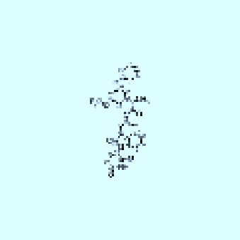 CN(C(=O)Oc1cc2c3c(cccc3c1)N(C1CCC(=O)NC1=O)C2=O)c1cc(CN2CCOCC2)cc(OC(F)(F)F)c1